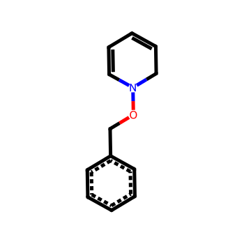 C1=CCN(OCc2ccccc2)C=C1